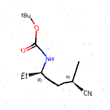 CC[C@H](C[C@@H](C)C#N)NC(=O)OC(C)(C)C